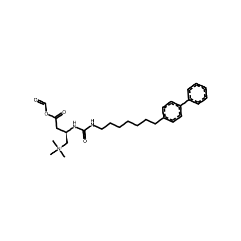 C[N+](C)(C)C[C@@H](CC(=O)OC=O)NC(=O)NCCCCCCCc1ccc(-c2ccccc2)cc1